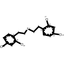 Clc1ccc(CCSCCc2ccc(Cl)cc2Cl)c(Cl)c1